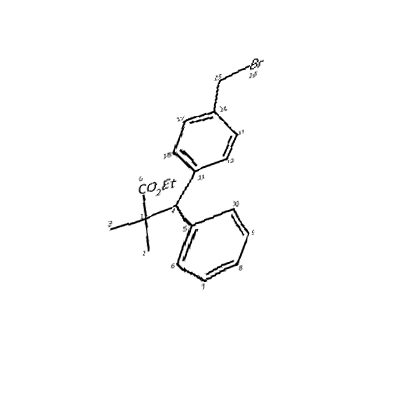 CCOC(=O)C(C)(C)C(c1ccccc1)c1ccc(CBr)cc1